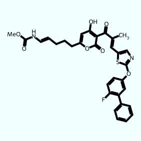 COC(=O)N/C=C/CCCc1cc(O)c(C(=O)C(C)=Cc2cnc(Oc3ccc(F)c(-c4ccccc4)c3)s2)c(=O)o1